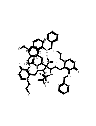 O=C(O)NC(CCc1c(OCc2ccccc2)c(=O)ccn1CCO)C(C(CCc1c(OCc2ccccc2)c(=O)ccn1CCO)NC(=O)O)(C(CCc1c(OCc2ccccc2)c(=O)ccn1CCO)NC(=O)O)[N+](=O)[O-]